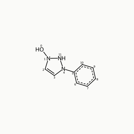 ON1C=CN(c2ccccc2)N1